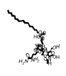 CCCCCCCCCCCCCCCCOP(=O)(O)OCCNC(=O)C(CC(C)O[C@H]1[C@H](O)[C@@H](CO)O[C@H](O)[C@@H]1NC(C)=O)(OC(=O)CC[C@@H](N)C(N)=O)C(=O)[C@H](C)N